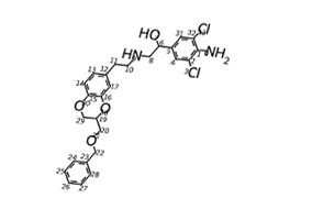 Nc1c(Cl)cc(C(O)CNCCc2ccc3c(c2)OC(COCc2ccccc2)CO3)cc1Cl